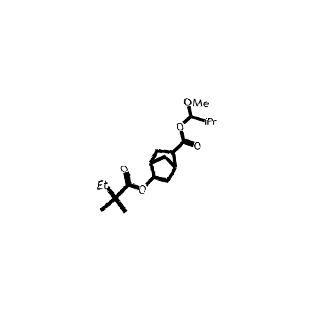 CCC(C)(C)C(=O)OC1CC2CC1CC2C(=O)OC(OC)C(C)C